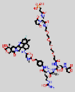 CCN(CC(=O)NC1CCc2c(C)c(F)cc3nc4c(c1c23)Cn1c-4cc2c(c1=O)COC(=O)[C@]2(O)CC)C(=O)OCc1ccc(NC(=O)[C@H](CCCNC(N)O)NC(=O)[C@@H](NC(=O)[C@H](CC(=O)N[C@H]2CCOC2=O)NC(=O)CCOCCOCCOCCOCCNC(=O)[C@H](CNC(=O)CCP(=O)(O)O)N2C(=O)C=CC2=O)C(C)C)cc1